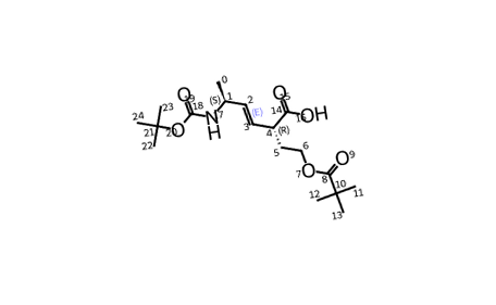 C[C@@H](/C=C/[C@@H](CCOC(=O)C(C)(C)C)C(=O)O)NC(=O)OC(C)(C)C